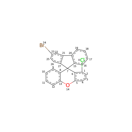 Clc1cccc2c1C1(c3ccccc3O2)c2ccccc2-c2cc(Br)ccc21